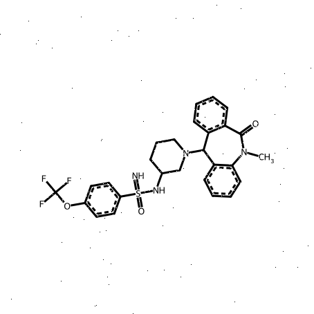 CN1C(=O)c2ccccc2C(N2CCCC(NS(=N)(=O)c3ccc(OC(F)(F)F)cc3)C2)c2ccccc21